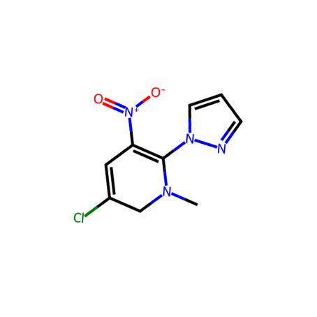 CN1CC(Cl)=CC([N+](=O)[O-])=C1n1cccn1